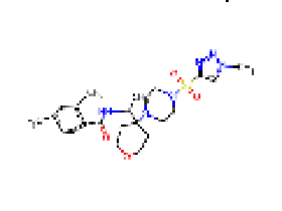 CC(NC(=O)c1ccc(C(F)(F)F)cc1C(F)(F)F)C1(N2CCN(S(=O)(=O)c3cn(C)nn3)CC2)CCOCC1